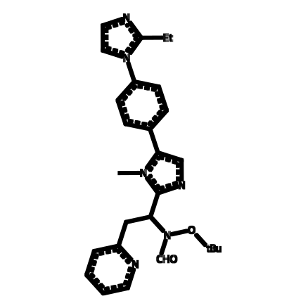 CCc1nccn1-c1ccc(-c2cnc(C(Cc3ccccn3)N(C=O)OC(C)(C)C)n2C)cc1